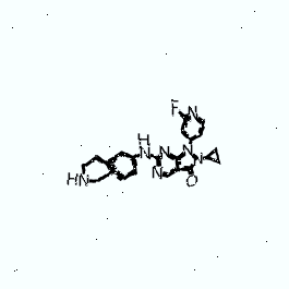 O=c1c2cnc(Nc3ccc4c(c3)CCNC4)nc2n(-c2ccnc(F)c2)n1C1CC1